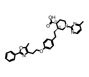 Cc1ccnc(N2CC[C@H](C(=O)O)[C@H](CCc3ccc(OCCc4nc(-c5ccccc5)oc4C)cc3)C2)n1